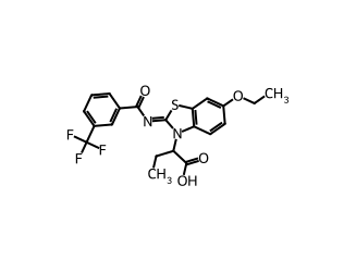 CCOc1ccc2c(c1)sc(=NC(=O)c1cccc(C(F)(F)F)c1)n2C(CC)C(=O)O